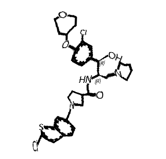 O=C(N[C@H](CN1CCCC1)[C@H](O)c1ccc(OC2CCOCC2)c(Cl)c1)C1CCN(c2ccc3cc(Cl)sc3c2)C1